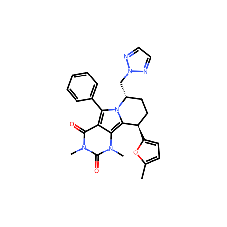 Cc1ccc([C@@H]2CC[C@@H](Cn3nccn3)n3c(-c4ccccc4)c4c(=O)n(C)c(=O)n(C)c4c32)o1